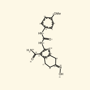 COc1ccc(NC(=O)Nc2sc3c(c2C(N)=O)CC/C(=N\O)C3)cc1